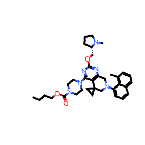 CCCCOC(=O)N1CCN(c2nc(OC[C@@H]3CCCN3C)nc3c2C2(CC2)CN(c2cccc4cccc(C)c24)C3)CC1